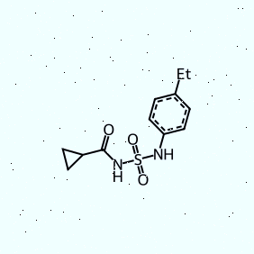 CCc1ccc(NS(=O)(=O)NC(=O)C2CC2)cc1